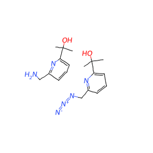 CC(C)(O)c1cccc(CN)n1.CC(C)(O)c1cccc(CN=[N+]=[N-])n1